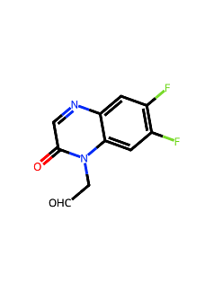 O=CCn1c(=O)cnc2cc(F)c(F)cc21